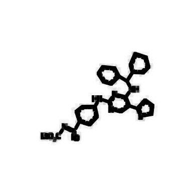 CCOC(=O)/N=[SH](=O)/c1ccc(Nc2ncc(-c3cccs3)c(NC(c3ccccc3)c3ccccc3)n2)cc1